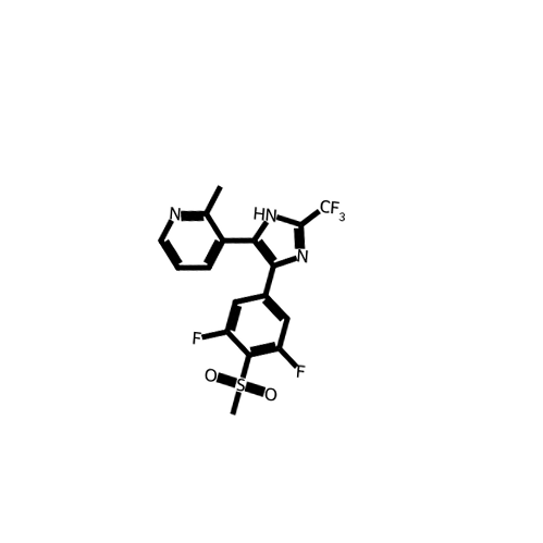 Cc1ncccc1-c1[nH]c(C(F)(F)F)nc1-c1cc(F)c(S(C)(=O)=O)c(F)c1